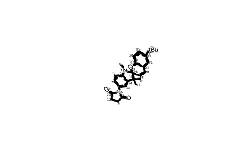 CN1c2ccc(N3C(=O)CCC3=O)cc2C(C)(C)C12C=Cc1cc(C(C)(C)C)ccc1O2